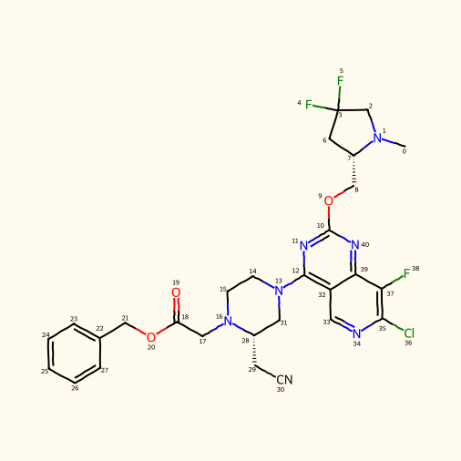 CN1CC(F)(F)C[C@H]1COc1nc(N2CCN(CC(=O)OCc3ccccc3)[C@@H](CC#N)C2)c2cnc(Cl)c(F)c2n1